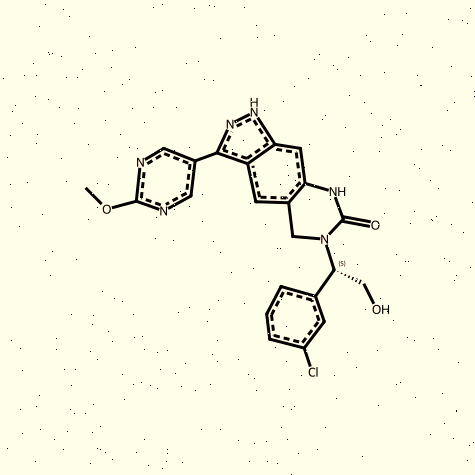 COc1ncc(-c2n[nH]c3cc4c(cc23)CN([C@H](CO)c2cccc(Cl)c2)C(=O)N4)cn1